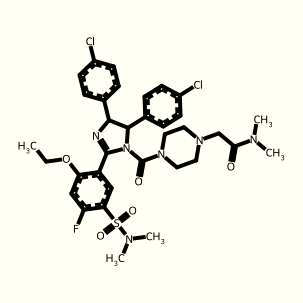 CCOc1cc(F)c(S(=O)(=O)N(C)C)cc1C1=NC(c2ccc(Cl)cc2)C(c2ccc(Cl)cc2)N1C(=O)N1CCN(CC(=O)N(C)C)CC1